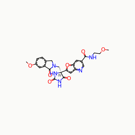 COCCNC(=O)c1cnc2cc([C@]3(CN4Cc5ccc(OC)cc5C4=O)NC(=O)NC3=O)oc2c1